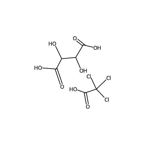 O=C(O)C(Cl)(Cl)Cl.O=C(O)C(O)C(O)C(=O)O